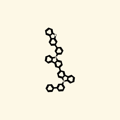 c1ccc(-c2cccc(-n3c4ccccc4c4cc(-c5ccc6c(c5)c5ccccc5n6-c5cccc(-c6ccc7c(c6)oc6ccccc67)c5)ccc43)c2)cc1